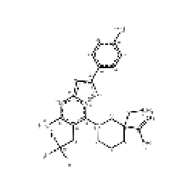 CCC1(C(=O)O)CCCN(c2c(CC(F)(F)F)c(C)nc3cc(-c4ccc(Cl)cc4)nn23)C1